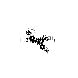 COC(=O)c1cc(-c2cccc(OC(F)F)c2)n2nc(Nc3ccc(-n4cnc(C)c4)c(OC)c3)nc2n1